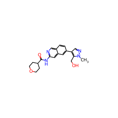 Cn1ncc(-c2ccc3cnc(NC(=O)C4CCOCC4)cc3c2)c1CO